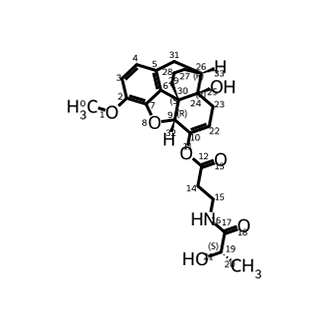 COc1ccc2c3c1O[C@H]1C(OC(=O)CCNC(=O)[C@H](C)O)=CC[C@@]4(O)[C@H](CCC[C@]314)C2